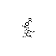 Cc1ncsc1-c1ccc([C@@](C)(O)NC(=O)[C@@H]2C[C@@H](O)CN2C(=O)[C@@H](N)C(C)(C)C)cc1